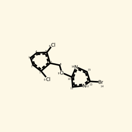 Clc1cccc(Cl)c1COc1cnc(Br)cn1